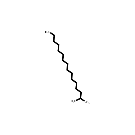 CCCCCCCCCCCCC[CH]C(C)C